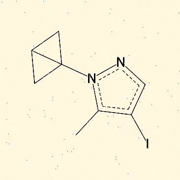 Cc1c(I)cnn1C12CC1C2